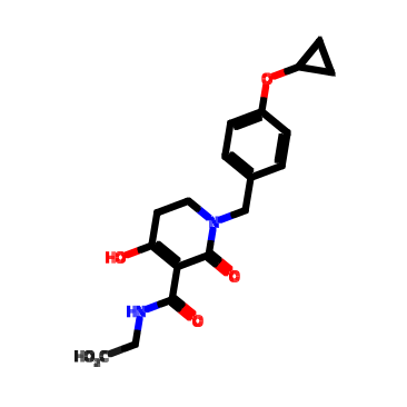 O=C(O)CNC(=O)C1=C(O)CCN(Cc2ccc(OC3CC3)cc2)C1=O